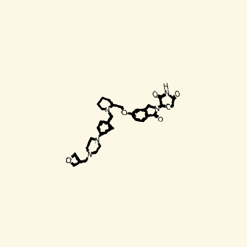 O=C1CCC(N2Cc3cc(OCC4CCCCN4Cc4ccc(N5CCN(CC6COC6)CC5)cc4)ccc3C2=O)C(=O)N1